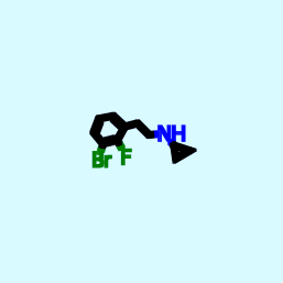 Fc1c(Br)cccc1CCNC1CC1